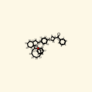 O=C(c1ccccc1)C1CN(c2ccc(C3CC4CCCCC4(C4CCCCCCCC4)N3c3ccccc3)cc2)C1